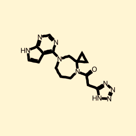 O=C(Cc1nnn[nH]1)N1CCCN(c2ncnc3[nH]ccc23)CC12CC2